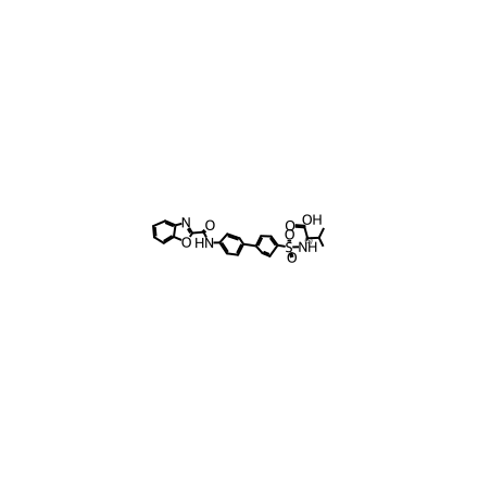 CC(C)[C@H](NS(=O)(=O)c1ccc(-c2ccc(NC(=O)c3nc4ccccc4o3)cc2)cc1)C(=O)O